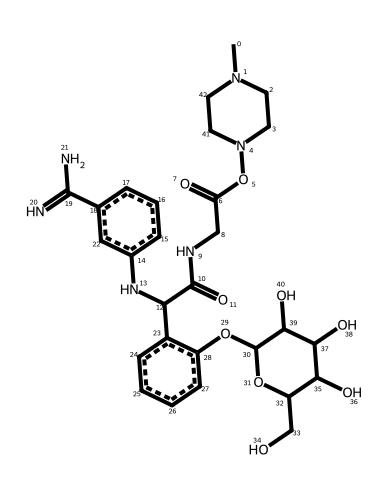 CN1CCN(OC(=O)CNC(=O)C(Nc2cccc(C(=N)N)c2)c2ccccc2OC2OC(CO)C(O)C(O)C2O)CC1